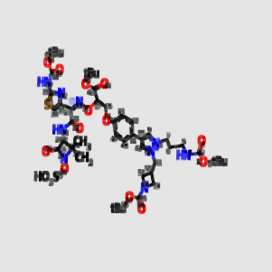 CC(C)(C)OC(=O)NCCCn1cc(-c2ccc(OCC(O/N=C(\C(=O)N[C@H]3C(=O)N(OS(=O)(=O)O)C3(C)C)c3csc(NC(=O)OC(C)(C)C)n3)C(=O)OC(C)(C)C)cc2)c[n+]1CC1CN(C(=O)OC(C)(C)C)C1